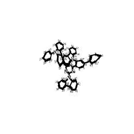 c1ccc(-c2ccc(-c3nc(-c4ccc5c(c4)c4ccccc4n5-c4ccccc4)nc(-n4c5ccccc5c5ccccc54)n3)c(-n3c4ccccc4c4ccccc43)c2)cc1